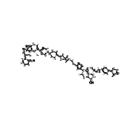 Cc1ncsc1-c1ccc(CNC(=O)[C@@H]2C[C@@H](O)CN2C(=O)[C@@H](c2cc(OCC3CC4(C3)CC(N3CCC(c5cnc(N6CCc7[nH]c8nnc(-c9ccccc9O)cc8c7[C@H]6C)nc5)CC3)C4)no2)C(C)C)cc1